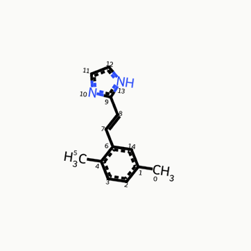 Cc1ccc(C)c(C=Cc2ncc[nH]2)c1